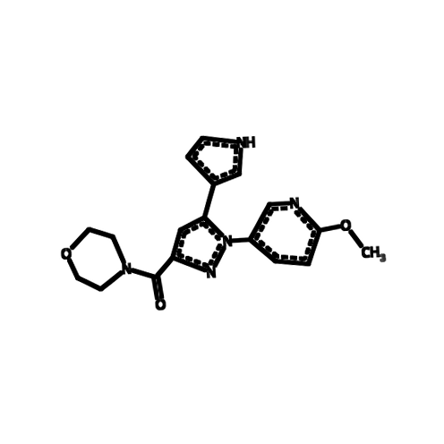 COc1ccc(-n2nc(C(=O)N3CCOCC3)cc2-c2cc[nH]c2)cn1